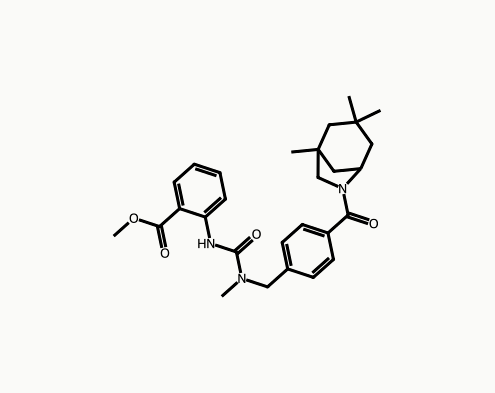 COC(=O)c1ccccc1NC(=O)N(C)Cc1ccc(C(=O)N2CC3(C)CC2CC(C)(C)C3)cc1